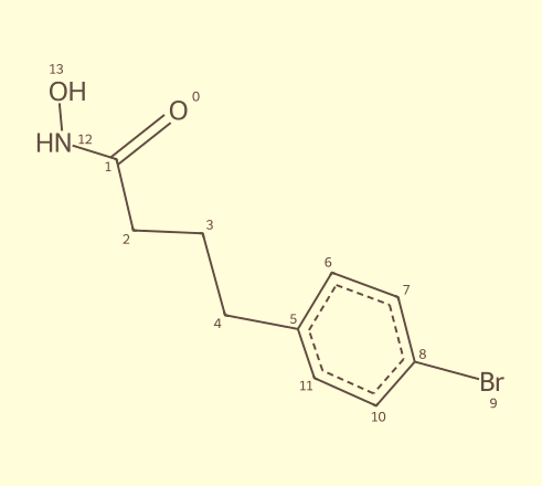 O=C(CCCc1ccc(Br)cc1)NO